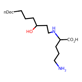 CCCCCCCCCCCCCC(O)CCNC(CCCN)C(=O)O